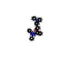 c1ccc(-c2nc(-c3ccccc3)nc(-c3cc4ccccc4c4c3oc3cc(-c5ccc6c(c5)c5ccccc5n6-c5ccccc5)ccc34)n2)cc1